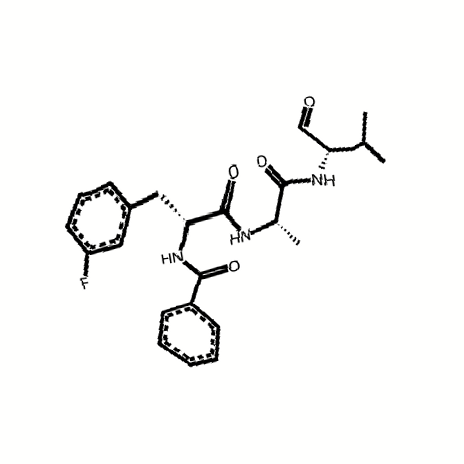 CC(C)[C@@H](C=O)NC(=O)[C@H](C)NC(=O)[C@@H](Cc1cccc(F)c1)NC(=O)c1ccccc1